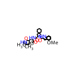 COC(=O)[C@H](CC1CCC(C)(C)NC1=O)NC(=O)C1CC2(CCCCC2)CN1C(=O)c1cc2c(OC)cccc2[nH]1